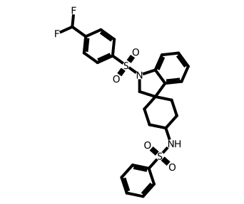 O=S(=O)(NC1CCC2(CC1)CN(S(=O)(=O)c1ccc(C(F)F)cc1)c1ccccc12)c1ccccc1